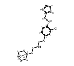 Clc1cc(CCNCC[N+]23CCN(CC2)CC3)ccc1N=Nc1nccs1